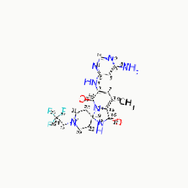 Cc1cc(Nc2cc(N)ncn2)c(=O)n2c1C(=O)NC21CCN(CC(F)(F)F)CC1